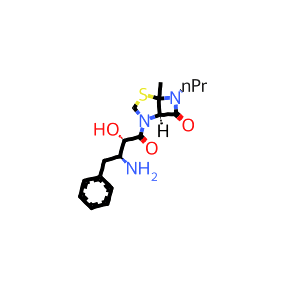 CCCN1C(=O)[C@H]2N(C(=O)[C@@H](O)[C@@H](N)Cc3ccccc3)CSC21C